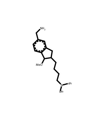 CCCN(CCC)CCCCC1Cc2cc(CN)ccc2C1OC